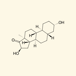 C[C@]12CC[C@H]3[C@@H](CC[C@H]4C[C@@H](O)CC[C@@H]43)[C@@H]1C[C@@H](O)C2=O